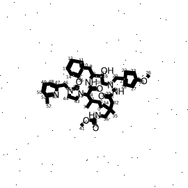 CCC(C)C(C(=O)NC(Cc1ccccc1)C(O)CN(Cc1ccc(OC)cc1)NC(=O)CC(C)(C)CNC(=O)OC)N1CCN(Cc2cccc(C)n2)C1=O